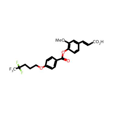 COc1cc(C=CC(=O)O)ccc1OC(=O)c1ccc(OCCCC(F)(F)C(F)(F)F)cc1